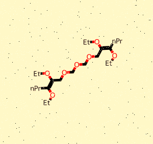 CCCC(OCC)=C(COCOCOCC(OCC)=C(CCC)OCC)OCC